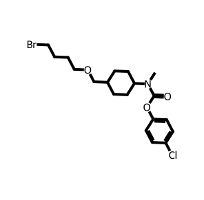 CN(C(=O)Oc1ccc(Cl)cc1)C1CCC(COCCCCBr)CC1